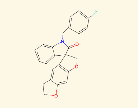 O=C1N(Cc2ccc(F)cc2)c2ccccc2C12COc1cc3c(cc12)CCO3